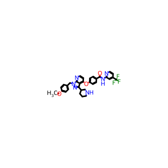 COc1ccc(Cn2nc(C3CCCNC3)c3c(Oc4ccc(C(=O)Nc5cc(C(F)(F)F)ccn5)cc4)ccnc32)cc1